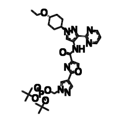 CCO[C@H]1CC[C@H](n2cc(NC(=O)c3coc(-c4cnn(COP(=O)(OC(C)(C)C)OC(C)(C)C)c4)n3)c(-c3ncccn3)n2)CC1